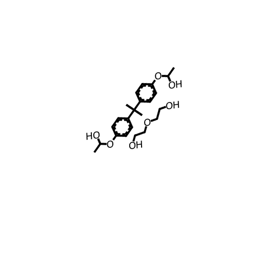 CC(O)Oc1ccc(C(C)(C)c2ccc(OC(C)O)cc2)cc1.OCCOCCO